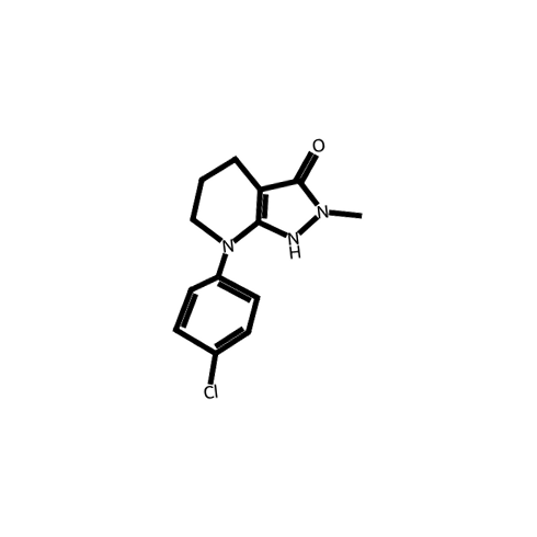 Cn1[nH]c2c(c1=O)CCCN2c1ccc(Cl)cc1